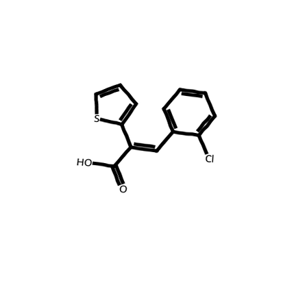 O=C(O)C(=Cc1ccccc1Cl)c1cccs1